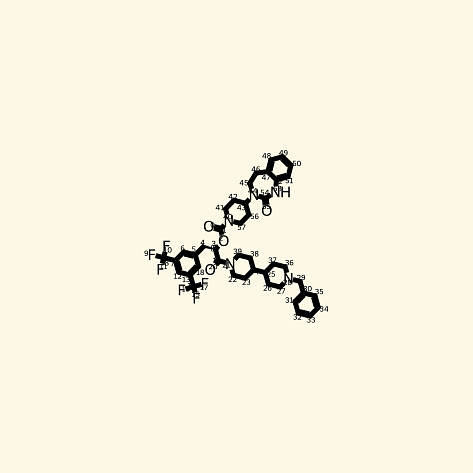 O=C(O[C@H](Cc1cc(C(F)(F)F)cc(C(F)(F)F)c1)C(=O)N1CCC(C2CCN(Cc3ccccc3)CC2)CC1)N1CCC(N2CCc3ccccc3NC2=O)CC1